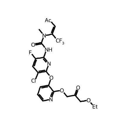 CCOCC(=O)COc1ncccc1Oc1nc(NC(=O)N(C)/C(=C\C(C)=O)C(F)(F)F)c(F)cc1Cl